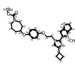 Cn1c(-c2nc(C3CCC3)cn2CCOc2ccc(OC3CCCN(C(=O)OC(C)(C)C)CC3)cc2)cc2sccc21